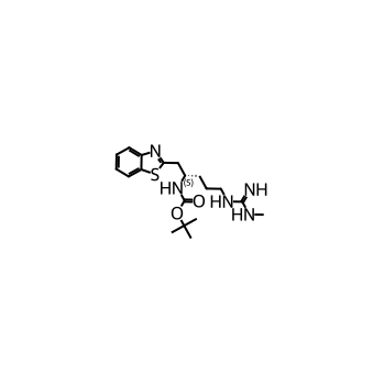 CNC(=N)NCCC[C@@H](Cc1nc2ccccc2s1)NC(=O)OC(C)(C)C